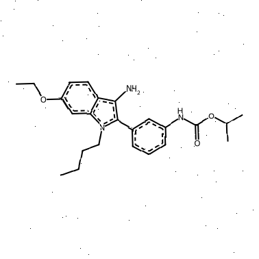 CCCCn1c(-c2cccc(NC(=O)OC(C)C)c2)c(N)c2ccc(OCC)cc21